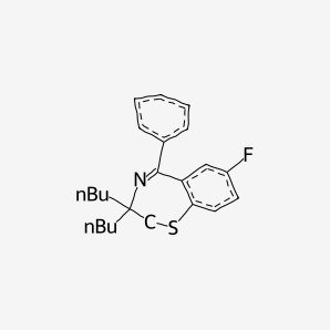 CCCCC1(CCCC)CSc2ccc(F)cc2C(c2ccccc2)=N1